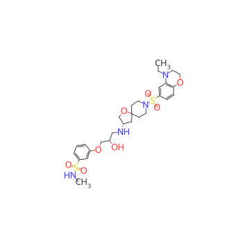 CCN1CCOc2ccc(S(=O)(=O)N3CCC4(CC3)C[C@H](NCC(O)COc3cccc(S(=O)(=O)NC)c3)CO4)cc21